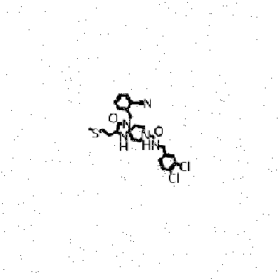 CSCCC1NC2(CCN(C(=O)NCc3ccc(Cl)c(Cl)c3)CC2)N(Cc2ccccc2C#N)C1=O